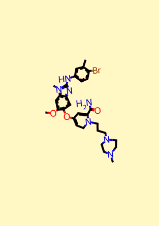 COc1cc2c(cc1OC1=CCN(CCCN3CCN(C)CC3)C(C(N)=O)=C1)nc(Nc1ccc(Br)c(C)c1)n2C